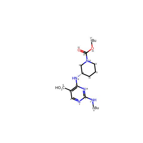 CCCCNc1ncc(C(=O)O)c(N[C@H]2CCCN(C(=O)OC(C)(C)C)C2)n1